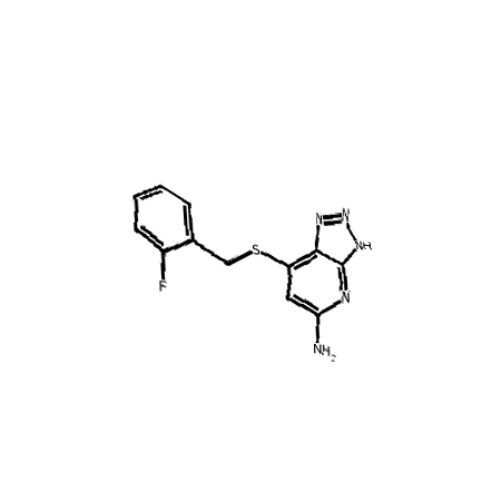 Nc1cc(SCc2ccccc2F)c2nn[nH]c2n1